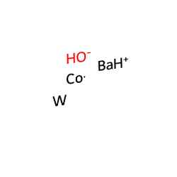 [BaH+].[Co].[OH-].[W]